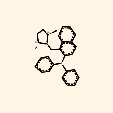 C[C@@H]1CC[C@@H](C)N1Cc1c(P(c2ccccc2)c2ccccc2)ccc2ccccc12